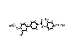 CCCCCCCc1ccc(OC(=O)c2ccc(-c3ccc(OCCCCCC)c(F)c3)cc2)c(F)c1